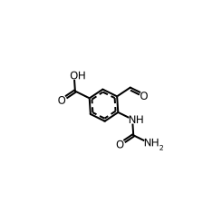 NC(=O)Nc1ccc(C(=O)O)cc1C=O